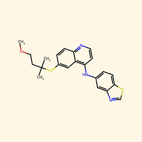 COCCC(C)(C)Sc1ccc2nccc(Nc3ccc4scnc4c3)c2c1